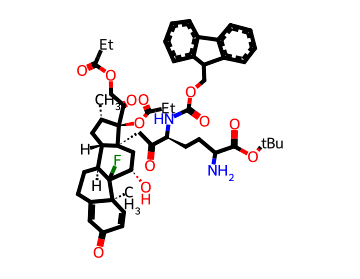 CCC(=O)OCC(=O)[C@@]1(OC(=O)CC)[C@@H](C)C[C@H]2[C@@H]3CCC4=CC(=O)C=C[C@]4(C)C3(F)[C@@H](O)C[C@@]21CC(=O)[C@H](CCC(N)C(=O)OC(C)(C)C)NC(=O)OCC1c2ccccc2-c2ccccc21